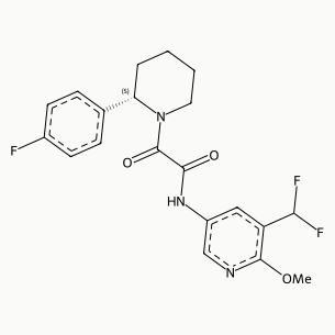 COc1ncc(NC(=O)C(=O)N2CCCC[C@H]2c2ccc(F)cc2)cc1C(F)F